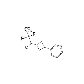 O=C(C1CC(c2ccccc2)C1)C(F)(F)C(F)(F)F